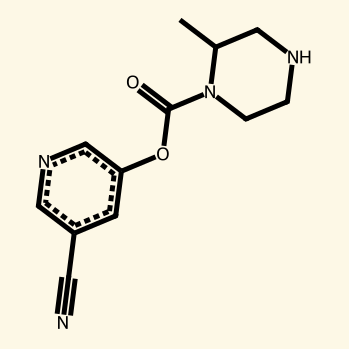 CC1CNCCN1C(=O)Oc1cncc(C#N)c1